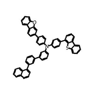 c1cc(-c2cccc(N(c3ccc(-c4ccc5c(c4)oc4ccccc45)cc3)c3ccc(-c4cccc5c4sc4ccccc45)cc3)c2)cc(-c2cccc3ccccc23)c1